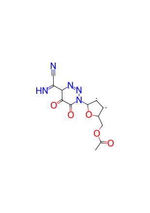 CC(=O)OCC1[CH][CH]C(N2N=NC(C(=N)C#N)C(=O)C2=O)O1